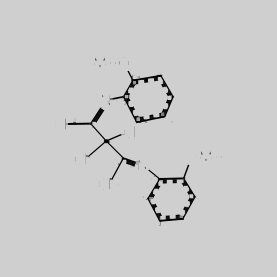 COc1ccccc1/N=C(\Cl)C(Cl)(Cl)/C(Cl)=N\c1ccccc1OC